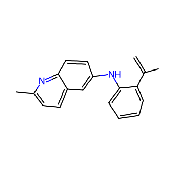 C=C(C)c1ccccc1Nc1ccc2nc(C)ccc2c1